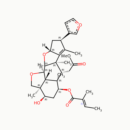 C/C=C(\C)C(=O)O[C@H]1C[C@@H](O)[C@@]2(C)CO[C@H]3[C@H]4O[C@@H]5C[C@@H](c6ccoc6)C(C)=C5[C@@]4(C)[C@H](CC(=O)OC)[C@]1(C)[C@@H]32